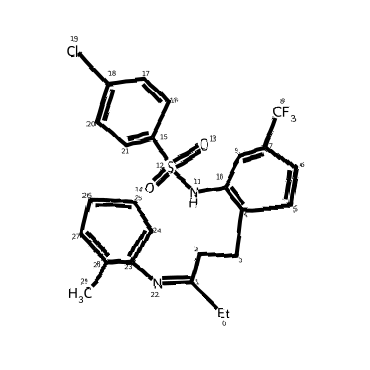 CC/C(CCc1ccc(C(F)(F)F)cc1NS(=O)(=O)c1ccc(Cl)cc1)=N/c1ccccc1C